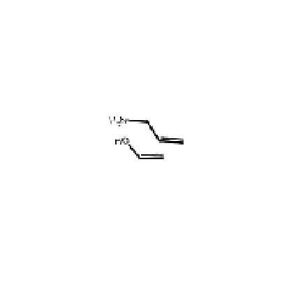 C=CCN.C=CO